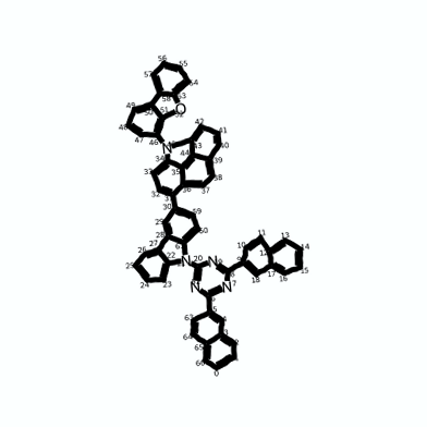 c1ccc2cc(-c3nc(-c4ccc5ccccc5c4)nc(-n4c5ccccc5c5cc(-c6ccc7c8c6ccc6cccc(c68)n7-c6cccc7c6oc6ccccc67)ccc54)n3)ccc2c1